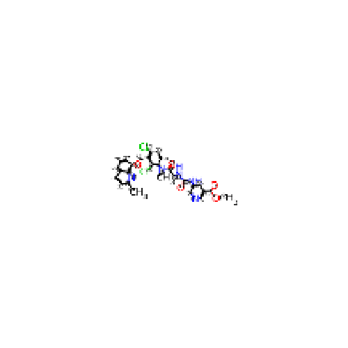 COC(=O)c1cncc(NC(=O)NCC(=O)N(C)c2ccc(Cl)c(COc3cccc4ccc(C)nc34)c2Cl)c1